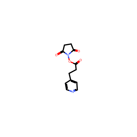 O=C(CCc1ccncc1)ON1C(=O)CCC1=O